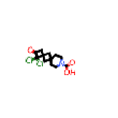 O=C(O)N1CCC2(CC1)CC1(CC(=O)C1(Cl)Cl)C2